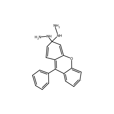 NNC1(NN)C=CC2=C(c3ccccc3)c3cc[c]cc3OC2=C1